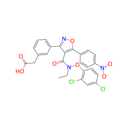 CCN(Oc1ccc(Cl)cc1Cl)C(=O)c1c(-c2cccc(CC(=O)O)c2)noc1-c1ccc([N+](=O)[O-])cc1